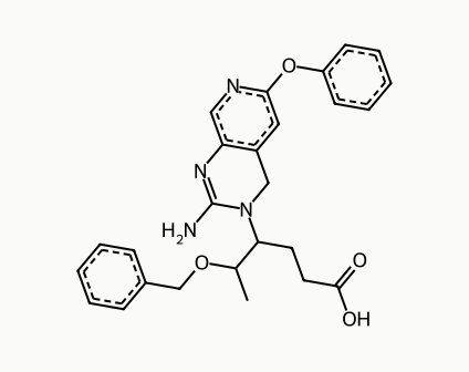 CC(OCc1ccccc1)C(CCC(=O)O)N1Cc2cc(Oc3ccccc3)ncc2N=C1N